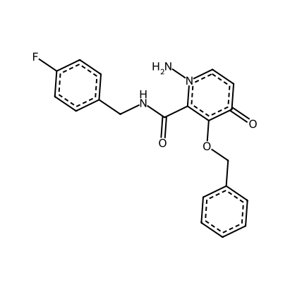 Nn1ccc(=O)c(OCc2ccccc2)c1C(=O)NCc1ccc(F)cc1